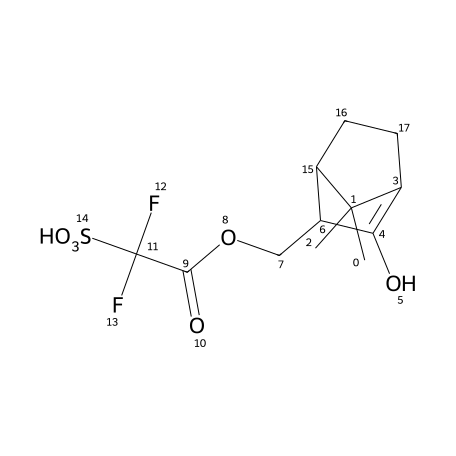 CC1(C)C2=C(O)C(COC(=O)C(F)(F)S(=O)(=O)O)C1CC2